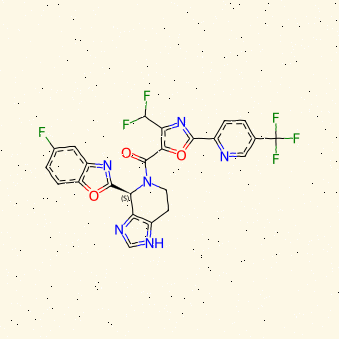 O=C(c1oc(-c2ccc(C(F)(F)F)cn2)nc1C(F)F)N1CCc2[nH]cnc2[C@H]1c1nc2cc(F)ccc2o1